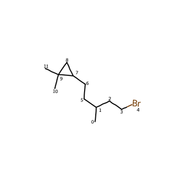 CC(CCBr)CCC1CC1(C)C